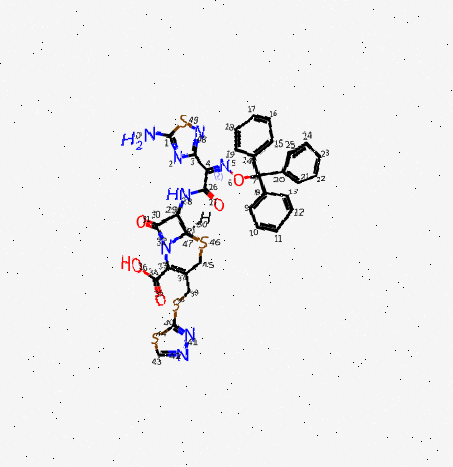 Nc1nc(/C(=N/OC(c2ccccc2)(c2ccccc2)c2ccccc2)C(=O)NC2C(=O)N3C(C(=O)O)=C(CSc4nncs4)CS[C@H]23)ns1